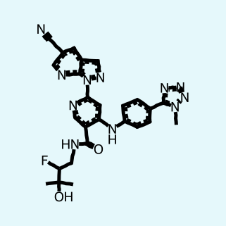 Cn1nnnc1-c1ccc(Nc2cc(-n3ncc4cc(C#N)cnc43)ncc2C(=O)NCC(F)C(C)(C)O)cc1